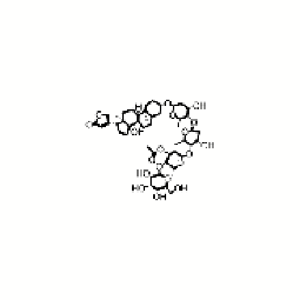 CC(=O)O[C@H]1CC(O[C@H]2[C@@H](O)CC(O[C@H]3[C@@H](O)CC(O[C@H]4CC[C@@]5(C)C(CCC6[C@@H]5CC[C@]5(C)[C@@H](C7=CC(=O)OC7)CCC65O)C4)O[C@@H]3C)O[C@@H]2C)O[C@H](C)[C@H]1OC1O[C@@H](CO)[C@H](O)[C@@H](O)[C@@H]1O